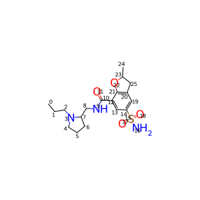 CCCN1CCCC1CNC(=O)c1cc(S(N)(=O)=O)cc2c1OC(C)C2